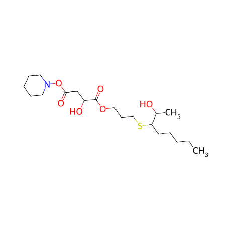 CCCCCC(SCCCOC(=O)C(O)CC(=O)ON1CCCCC1)C(C)O